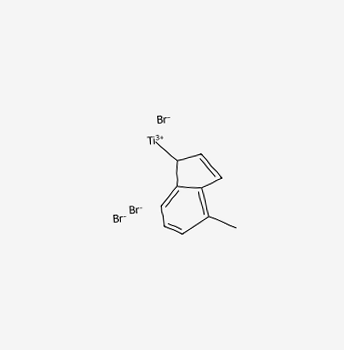 Cc1cccc2c1C=C[CH]2[Ti+3].[Br-].[Br-].[Br-]